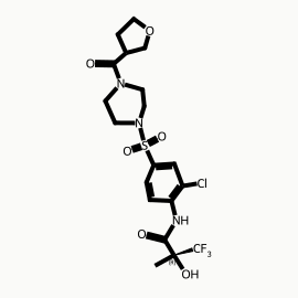 C[C@@](O)(C(=O)Nc1ccc(S(=O)(=O)N2CCN(C(=O)C3CCOC3)CC2)cc1Cl)C(F)(F)F